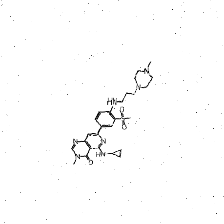 CN1CCN(CCCNc2ccc(-c3cc4ncn(C)c(=O)c4c(NC4CC4)n3)cc2S(C)(=O)=O)CC1